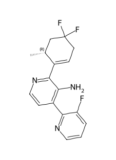 C[C@@H]1CC(F)(F)CC=C1c1nccc(-c2ncccc2F)c1N